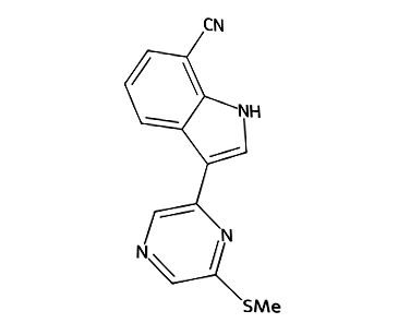 CSc1cncc(-c2c[nH]c3c(C#N)cccc23)n1